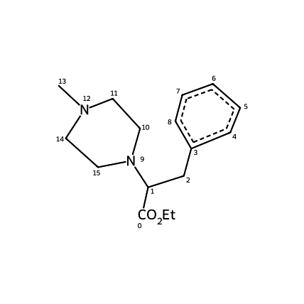 CCOC(=O)C(Cc1ccccc1)N1CCN(C)CC1